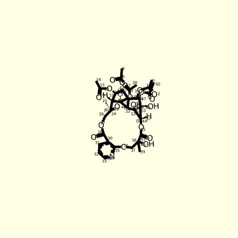 CC(=O)OC[C@]12[C@H](OC(C)=O)[C@H](OC(C)=O)[C@@H]3[C@@H](OC(C)=O)[C@@]14O[C@@]3(C)COC(=O)c1cccnc1CCC(C)(O)C(=O)O[C@@H]([C@H](O)[C@@H]2OC(C)=O)[C@@]4(C)O